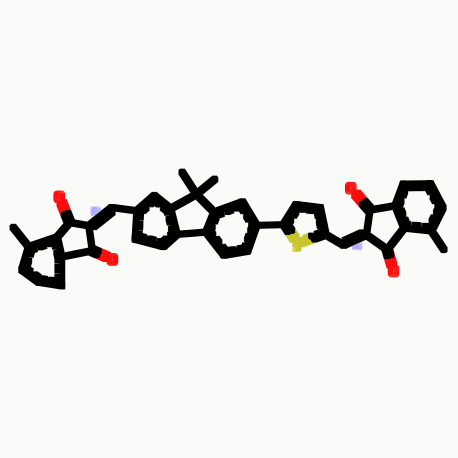 Cc1cccc2c1C(=O)/C(=C/c1ccc3c(c1)C(C)(C)c1cc(-c4ccc(/C=C5\C(=O)c6cccc(C)c6C5=O)s4)ccc1-3)C2=O